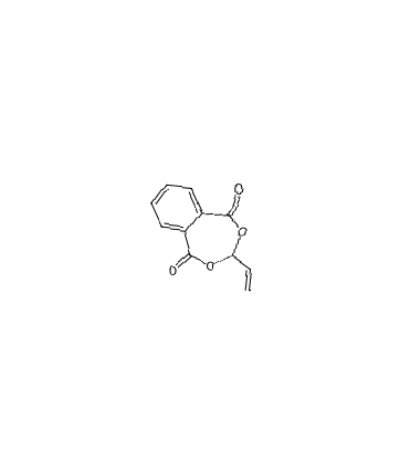 C=CC1OC(=O)c2ccccc2C(=O)O1